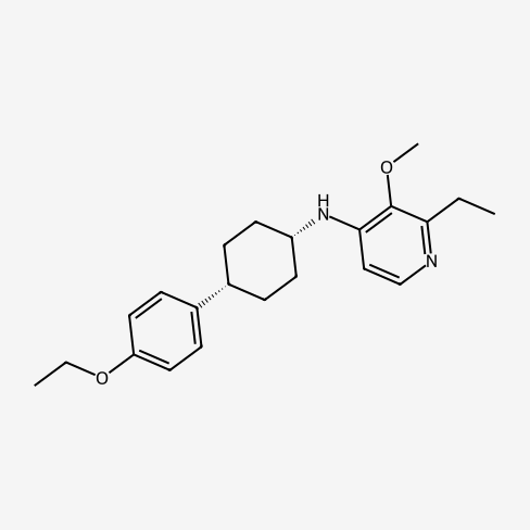 CCOc1ccc([C@H]2CC[C@@H](Nc3ccnc(CC)c3OC)CC2)cc1